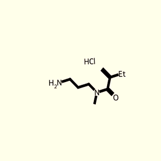 C=C(CC)C(=O)N(C)CCCN.Cl